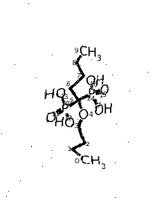 CCCCOC(CCCC)(P(=O)(O)O)P(=O)(O)O